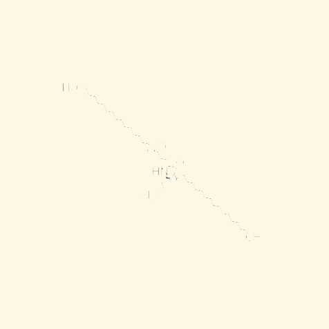 CCCCCCCCCCCCCCCCOC(=O)CC[C@H](NC(=O)CCC)C(=O)OCCCCCCCCCCCCCCCC